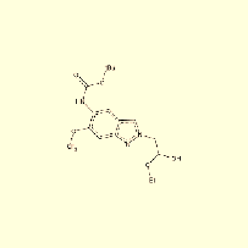 CCOC(O)Cn1cc2cc(NC(=O)OC(C)(C)C)c(OC(F)(F)F)cc2n1